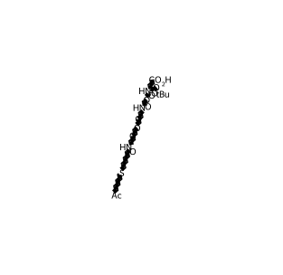 CC(=O)CCCCCCCSCCCCCCCC(=O)NCCCOCCOCCOCCCNC(=O)COCC(=O)NC(CCC(=O)O)C(=O)OC(C)(C)C